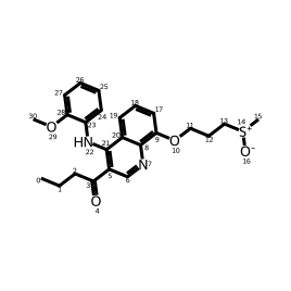 CCCC(=O)c1cnc2c(OCCC[S+](C)[O-])cccc2c1Nc1ccccc1OC